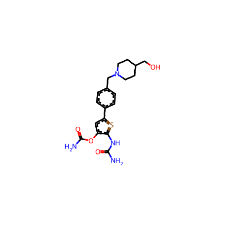 NC(=O)Nc1sc(-c2ccc(CN3CCC(CO)CC3)cc2)cc1OC(N)=O